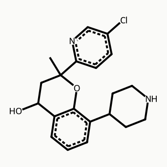 CC1(c2ccc(Cl)cn2)CC(O)c2cccc(C3CCNCC3)c2O1